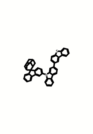 c1ccc2c(c1)-c1cc(-n3c4ccccc4c4ccc(-c5ccc6sc7ccccc7c6c5)cc43)ccc1C21C2CC3CC(C2)CC1C3